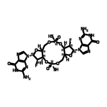 Nc1nc2c(ncn2[C@@H]2O[C@@H]3CO[P@@](=O)(S)O[C@H]4[C@@H](F)[C@H](n5cnc6c(=O)[nH]c(N)nc65)O[C@@H]4CO[P@](=O)(S)O[C@H]3[C@H]2F)c(=O)[nH]1